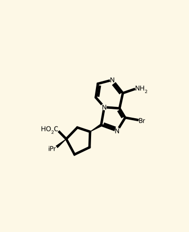 CC(C)[C@]1(C(=O)O)CC[C@H](c2nc(Br)c3c(N)nccn23)C1